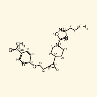 CCCc1noc(N2CCC(C3CC3CCOc3ccc([S+](C)[O-])cn3)CC2)n1